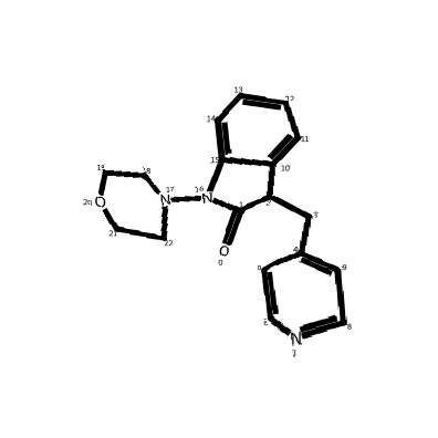 O=C1C(Cc2ccncc2)c2ccccc2N1N1CCOCC1